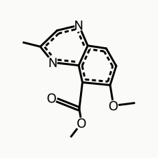 COC(=O)c1c(OC)ccc2ncc(C)nc12